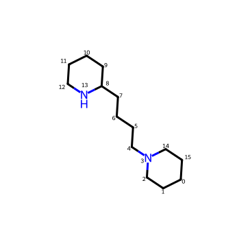 C1CCN(CCCCC2CCCCN2)CC1